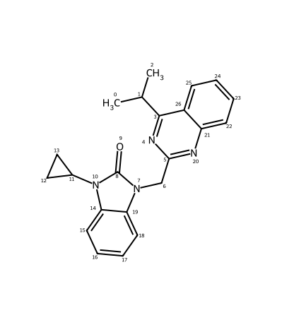 CC(C)c1nc(Cn2c(=O)n(C3CC3)c3ccccc32)nc2ccccc12